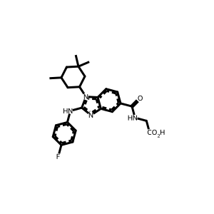 CC1CC(n2c(Nc3ccc(F)cc3)nc3cc(C(=O)NCC(=O)O)ccc32)CC(C)(C)C1